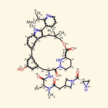 CCn1c(-c2cccnc2[C@H](C)OC)c2c3cc(ccc31)-c1cc(O)cc(c1)C[C@H](NC(=O)[C@H](C(C)C)N(C)C(=O)CC1CN(C(=O)[C@@H]3CN3)C1)C(=O)N1CCC[C@H](N1)C(=O)OCC(C)(C)C2